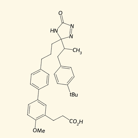 COc1ccc(-c2ccc(CCCC3(C(C)Cc4ccc(C(C)(C)C)cc4)N=NC(=O)N3)cc2)cc1CCC(=O)O